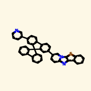 c1cncc(-c2ccc3c(c2)C2(c4ccccc4-c4ccccc42)c2cc(-c4ccc5nc6c7ccccc7sc6n5c4)ccc2-3)c1